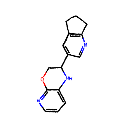 c1cnc2c(c1)NC(c1cnc3c(c1)CCC3)CO2